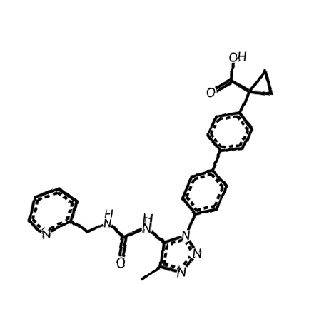 Cc1nnn(-c2ccc(-c3ccc(C4(C(=O)O)CC4)cc3)cc2)c1NC(=O)NCc1ccccn1